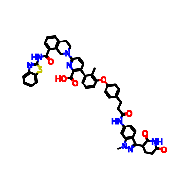 Cc1c(Oc2ccc(CCC(=O)Nc3ccc4c(C5CCC(=O)NC5=O)nn(C)c4c3)cc2)cccc1-c1ccc(N2CCc3cccc(C(=O)Nc4nc5ccccc5s4)c3C2)nc1C(=O)O